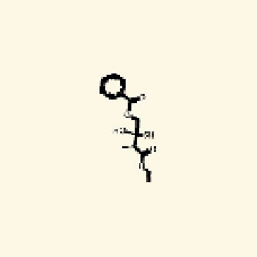 CCOC(=O)[C@@H](C)[C@@](O)(S)COC(=O)c1ccccc1